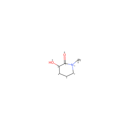 CC(C)N1CCCC(O)C1=O